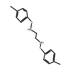 Cc1ccc(SNCCNSc2ccc(C)cc2)cc1